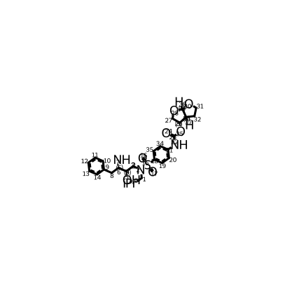 CC(C)CN(C[C@@H](O)[C@@H](N)Cc1ccccc1)S(=O)(=O)c1ccc(NC(=O)O[C@@H]2CO[C@@H]3OCC[C@@H]32)cc1